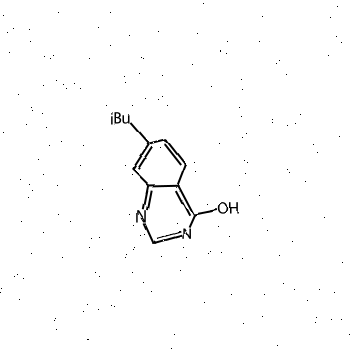 CCC(C)c1ccc2c(O)ncnc2c1